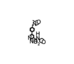 CC1COCCN1Cc1ccc(-c2cnc(N)c(C(=O)NC3CCOCC3)c2)cc1